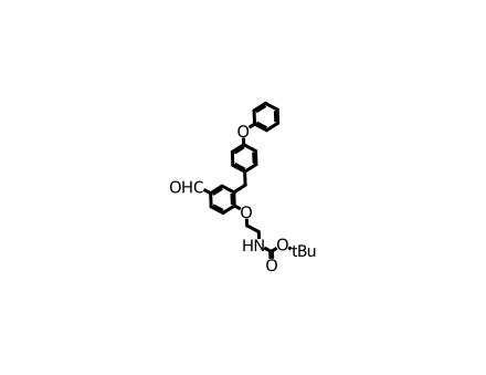 CC(C)(C)OC(=O)NCCOc1ccc(C=O)cc1Cc1ccc(Oc2ccccc2)cc1